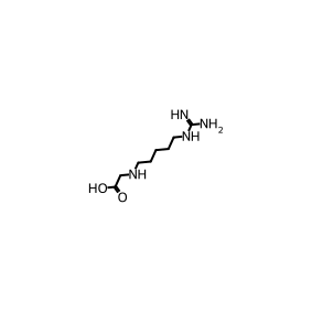 N=C(N)NCCCCCNCC(=O)O